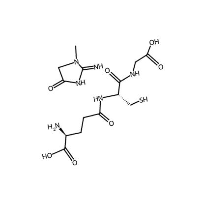 CN1CC(=O)NC1=N.N[C@@H](CCC(=O)N[C@@H](CS)C(=O)NCC(=O)O)C(=O)O